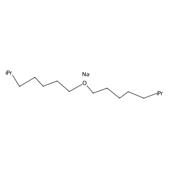 CC(C)CCCCCOCCCCCC(C)C.[Na]